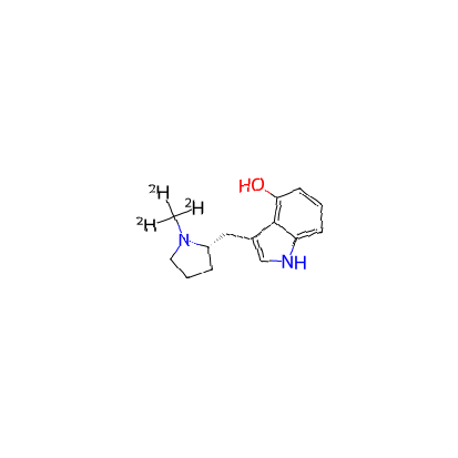 [2H]C([2H])([2H])N1CCC[C@H]1Cc1c[nH]c2cccc(O)c12